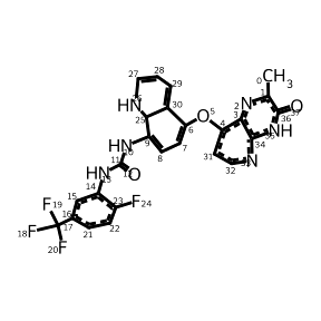 Cc1nc2c(OC3=CC=C(NC(=O)Nc4cc(C(F)(F)F)ccc4F)C4NC=CC=C34)ccnc2[nH]c1=O